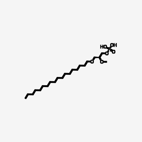 CCCCCCCCCCCCCCCCCCOC[C@@H](COP(=O)(O)O)OC